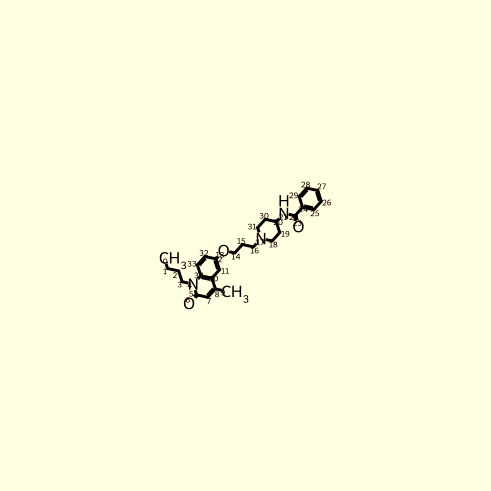 CCCCn1c(=O)cc(C)c2cc(OCCCN3CCC(NC(=O)c4ccccc4)CC3)ccc21